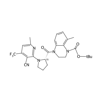 Cc1cc(C(F)(F)F)c(C#N)c(N2CCC[C@H]2C(=O)N2CCN(C(=O)OC(C)(C)C)c3c(C)cccc32)n1